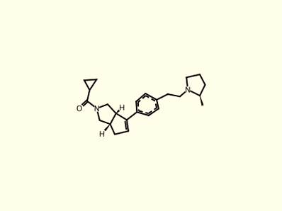 C[C@@H]1CCCN1CCc1ccc(C2=CC[C@@H]3CN(C(=O)C4CC4)C[C@H]23)cc1